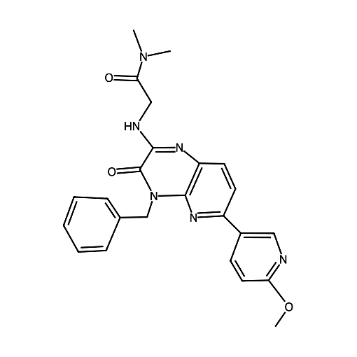 COc1ccc(-c2ccc3nc(NCC(=O)N(C)C)c(=O)n(Cc4ccccc4)c3n2)cn1